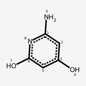 Nc1cc(O)cc(O)n1